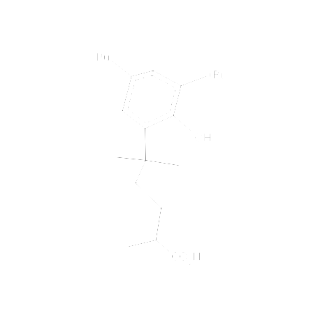 CC(CCC(C)(C)c1cc(C(C)(C)C)cc(C(C)(C)C)c1O)C(=O)O